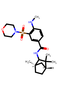 CNc1ccc(C(=O)NC2C(C)(C)[C@@H]3CC[C@]2(C)C3)cc1S(=O)(=O)N1CCOCC1